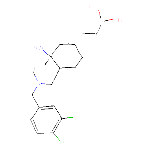 CN(Cc1ccc(Cl)c(Cl)c1)CC1CC[C@@H](CCB(O)O)C[C@]1(N)C(=O)O